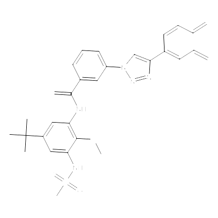 C=C/C=C\C(=C/C=C)c1cn(-c2cccc(C(=C)Nc3cc(C(C)(C)C)cc(NS(C)(=O)=O)c3OC)c2)nn1